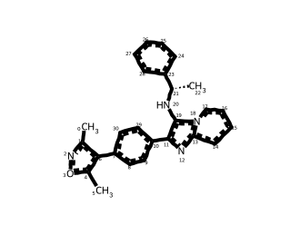 Cc1noc(C)c1-c1ccc(-c2nc3ccccn3c2N[C@@H](C)c2ccccc2)cc1